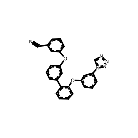 N#Cc1cccc(Oc2cccc(-c3[c]cccc3Oc3cccc(-n4cnnn4)c3)c2)c1